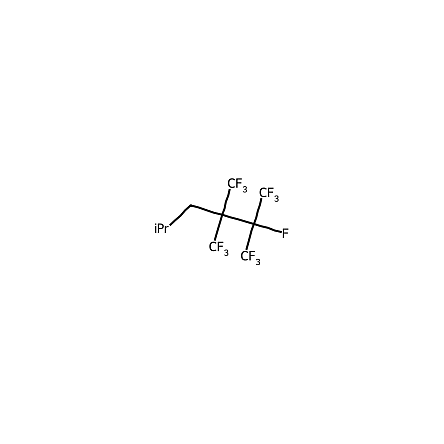 CC(C)CC(C(F)(F)F)(C(F)(F)F)C(F)(C(F)(F)F)C(F)(F)F